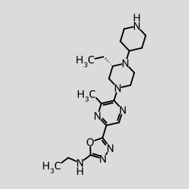 CCNc1nnc(-c2cnc(N3CCN(C4CCNCC4)[C@@H](CC)C3)c(C)n2)o1